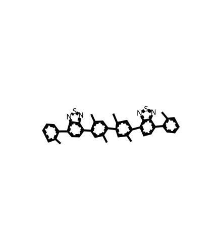 Cc1cc(-c2ccc(-c3ccccc3C)c3nsnc23)c(C)cc1-c1cc(C)c(-c2ccc(-c3ccccc3C)c3nsnc23)cc1C